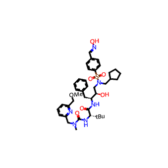 COCc1cccc(CN(C)C(=O)N[C@H](C(=O)N[C@@H](Cc2ccccc2)[C@H](O)CN(CC2CCCC2)S(=O)(=O)c2ccc(/C=N/O)cc2)C(C)(C)C)n1